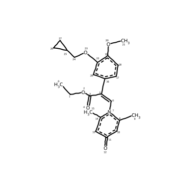 CCOC(=O)/C(=C\n1c(C)cc(=O)cc1C)c1ccc(OC)c(OCC2CC2)c1